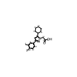 Cc1cc(-c2cc(C3CCCCC3)n(CC(=O)O)n2)ccc1F